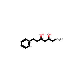 CCOC(=O)CC(O)CC(O)CCc1ccccc1